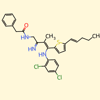 CCC/C=C/c1ccc(/C(Nc2ccc(Cl)cc2Cl)=C(\C)C(=N)CNC(=O)Cc2ccccc2)s1